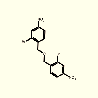 O=[N+]([O-])c1ccc(COCc2ccc([N+](=O)[O-])cc2Br)c(Br)c1